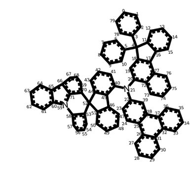 c1ccc(C2(c3ccccc3)c3ccccc3-c3c2cc(N(c2ccc4c5ccccc5c5ccccc5c4c2)c2cccc4c2-c2ccccc2C42c4ccccc4-n4c5ccccc5c5cccc2c54)c2ccccc32)cc1